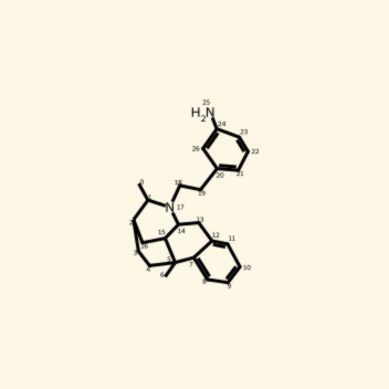 CC1C2CCC3(C)c4ccccc4CC(C3C2)N1CCc1cccc(N)c1